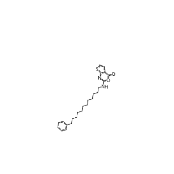 O=c1oc(NCCCCCCCCCCCCc2ccccc2)nc2sccc12